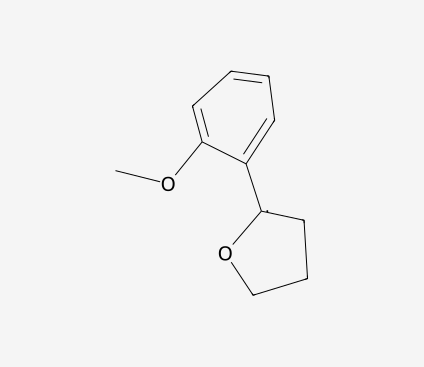 COc1ccccc1[C]1CCCO1